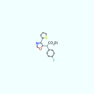 CCOC(=O)C(c1ccc(F)cc1)c1ocnc1-c1cccs1